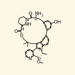 CCn1c(-c2cccnc2[C@H](C)OC)c2c3cc(ccc31)-c1cc(O)cc(c1)C[C@H](N)C(=O)N1CCC[C@H](N1)C(=O)OCC(C)(C)C2